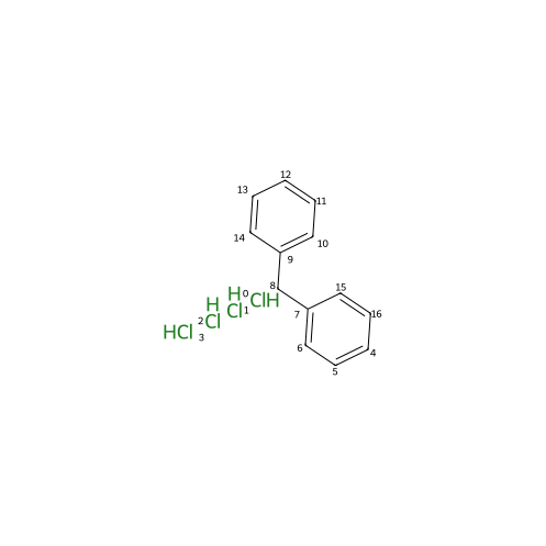 Cl.Cl.Cl.Cl.c1ccc(Cc2ccccc2)cc1